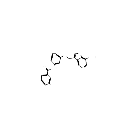 CCOC(=O)c1cncc2c(COc3cccc(NC(=O)c4cccc(Cl)c4)c3)csc12